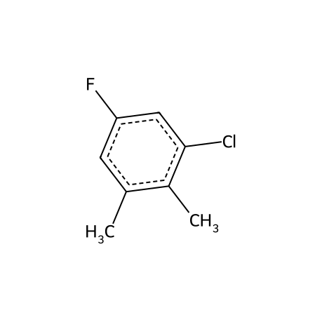 Cc1cc(F)cc(Cl)c1C